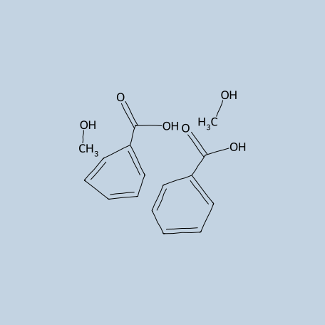 CO.CO.O=C(O)c1ccccc1.O=C(O)c1ccccc1